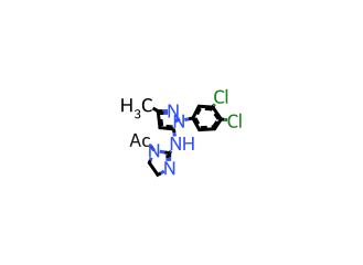 CC(=O)N1CCN=C1Nc1cc(C)nn1-c1ccc(Cl)c(Cl)c1